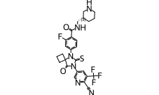 N#Cc1ncc(N2C(=O)C3(CCC3)N(c3ccc(C(=O)NC[C@H]4CCCNC4)c(F)c3)C2=S)cc1C(F)(F)F